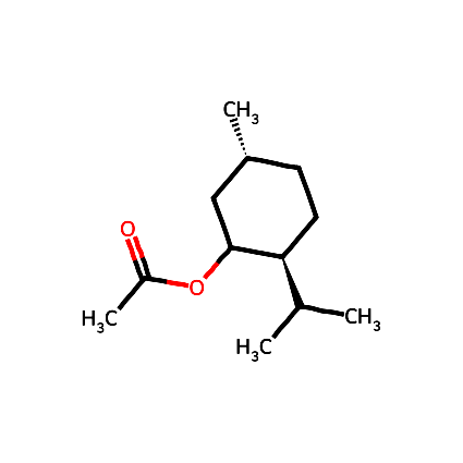 CC(=O)OC1C[C@H](C)CC[C@H]1C(C)C